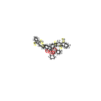 O=C(OCc1ccccc1)C1(C(=O)OCc2ccccc2)c2cc3cc(C=C4C(=S)c5ccccc5C4=S)sc3cc2-c2cc3sc(C=C4C(=S)c5ccccc5C4=S)cc3cc21